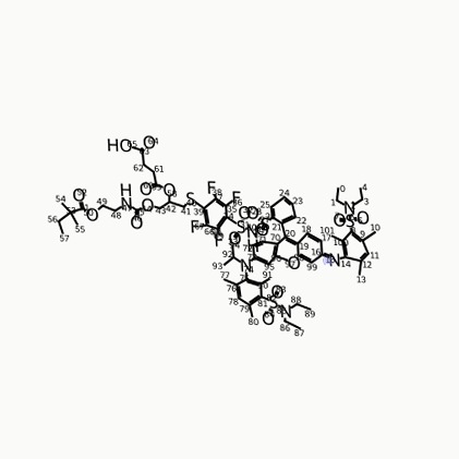 CCN(CC)S(=O)(=O)c1c(C)cc(C)c(/N=c2\ccc3c(-c4ccccc4S(=O)(=O)NS(=O)(=O)c4c(F)c(F)c(SCC(COC(=O)NCCOC(=O)C(C)(C)CC)OC(=O)CCC(=O)O)c(F)c4F)c4ccc(N(c5c(C)cc(C)c(S(=O)(=O)N(CC)CC)c5C)C(C)C)cc4oc-3c2)c1C